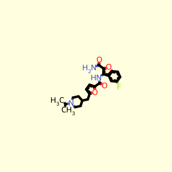 CC(C)N1CCC(Cc2ccc(C(=O)Nc3c(C(N)=O)oc4ccc(F)cc34)o2)CC1